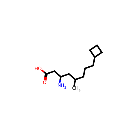 CC(CCCC1CCC1)CC(N)CC(=O)O